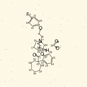 O=C(O[C@H]1C[N+]2(CCOc3ccc(F)cc3)CCC1CC2)C1(c2ccccc2)CCCCCC1.O=C[O-]